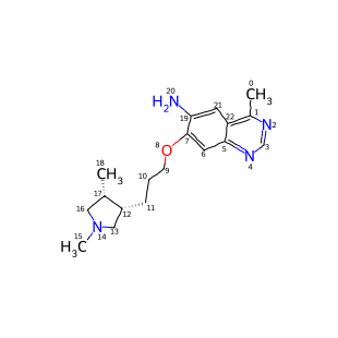 Cc1ncnc2cc(OCCC[C@@H]3CN(C)C[C@@H]3C)c(N)cc12